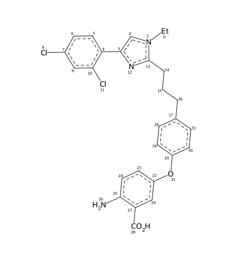 CCn1cc(-c2ccc(Cl)cc2Cl)nc1CCCc1ccc(Oc2ccc(N)c(C(=O)O)c2)cc1